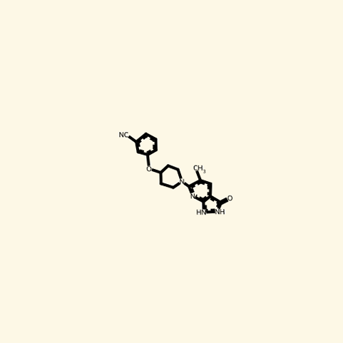 Cc1cc2c(=O)[nH][nH]c2nc1N1CCC(Oc2cccc(C#N)c2)CC1